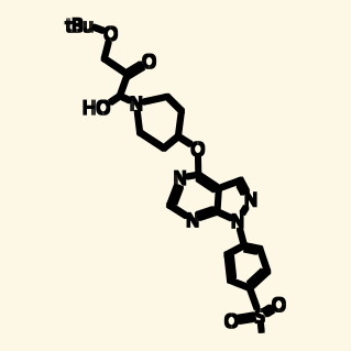 CC(C)(C)OCC(=O)C(O)N1CCC(Oc2ncnc3c2cnn3-c2ccc(S(C)(=O)=O)cc2)CC1